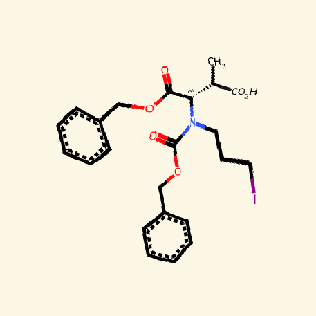 CC(C(=O)O)[C@@H](C(=O)OCc1ccccc1)N(CCCI)C(=O)OCc1ccccc1